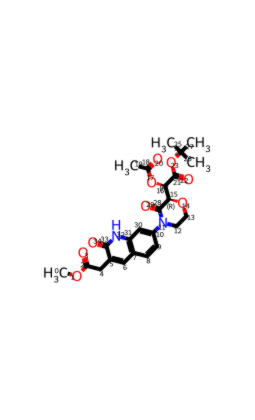 COC(=O)Cc1cc2ccc(N3CCO[C@H]([C@@H](OC(C)=O)C(=O)OC(C)(C)C)C3=O)cc2[nH]c1=O